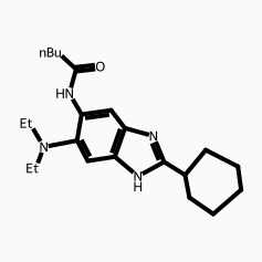 CCCCC(=O)Nc1cc2nc(C3CCCCC3)[nH]c2cc1N(CC)CC